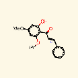 COc1cc(O)c(C(=O)/C=C/c2ccccc2)c(OC(C)C)c1